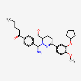 CCCCC(=O)c1ccc(C(N)N2N=C(c3ccc(OC)c(OC4CCCC4)c3)CCC2C=O)cc1